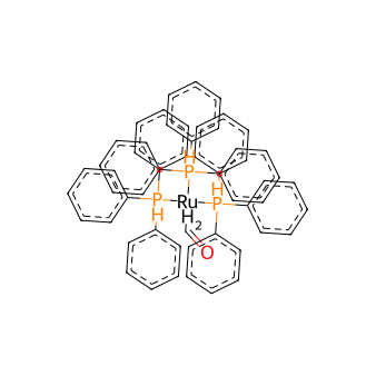 O=[CH][RuH2]([PH](c1ccccc1)(c1ccccc1)c1ccccc1)([PH](c1ccccc1)(c1ccccc1)c1ccccc1)[PH](c1ccccc1)(c1ccccc1)c1ccccc1